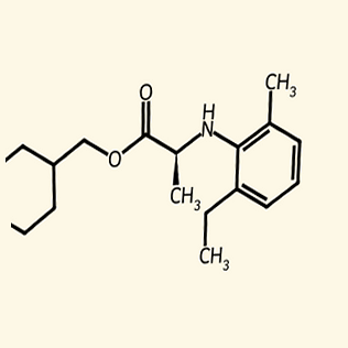 CCc1cccc(C)c1N[C@@H](C)C(=O)OCC1CCCCC1